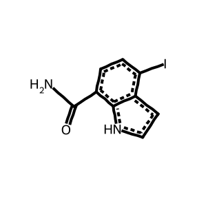 NC(=O)c1ccc(I)c2cc[nH]c12